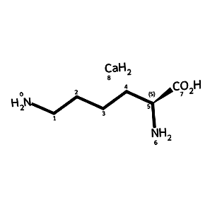 NCCCC[C@H](N)C(=O)O.[CaH2]